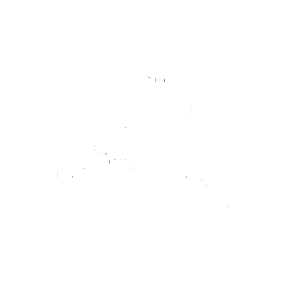 Cc1nnc(SCC2=C(C(=O)OCc3oc(=O)oc3C)N3C(=O)C(N)[C@@H]3SC2)s1.Cl.Cl